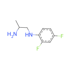 CC(N)CNc1ccc(F)cc1F